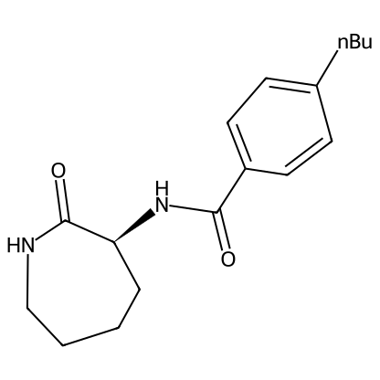 CCCCc1ccc(C(=O)N[C@H]2CCCCNC2=O)cc1